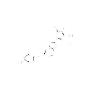 Cc1c(-c2cc3cc(OCc4ccc(Cl)cc4Cl)ccc3o2)oc(=O)c(C)c1O